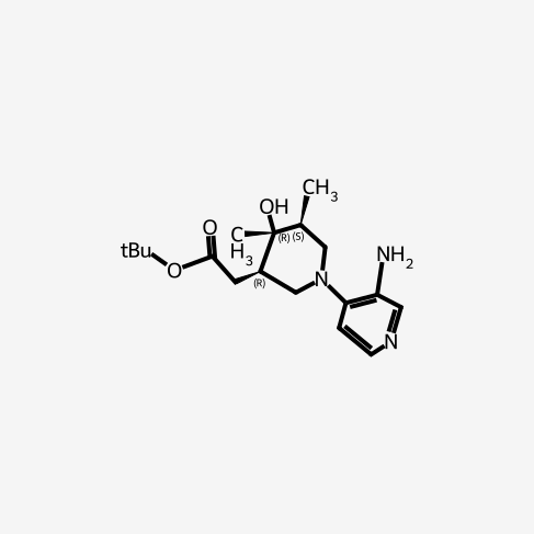 C[C@H]1CN(c2ccncc2N)C[C@@H](CC(=O)OC(C)(C)C)[C@]1(C)O